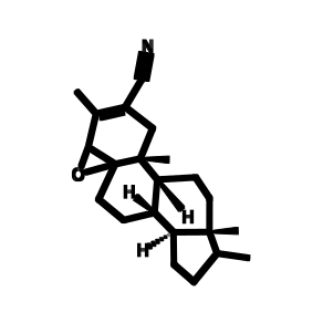 CC1=C(C#N)C[C@]2(C)[C@@H]3CC[C@]4(C)C(C)CC[C@H]4[C@@H]3CCC23OC13